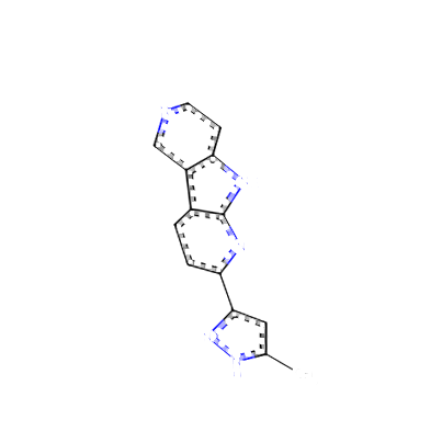 Cc1cc(-c2ccc3c(n2)[nH]c2ccncc23)n[nH]1